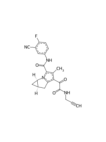 C#CCNC(=O)C(=O)c1c(C)c(C(=O)Nc2ccc(F)c(C#N)c2)n2c1C[C@H]1C[C@H]12